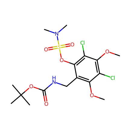 COc1c(Cl)c(OC)c(CNC(=O)OC(C)(C)C)c(OS(=O)(=O)N(C)C)c1Cl